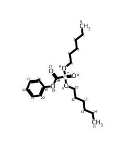 CCCCCCOP(=O)(OCCCCCC)C(=O)Oc1ccccc1